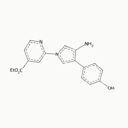 CCOC(=O)c1ccnc(-n2cc(N)c(-c3ccc(O)cc3)c2)c1